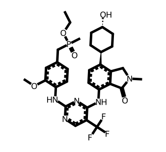 CCOP(C)(=O)Cc1ccc(Nc2ncc(C(F)(F)F)c(Nc3ccc([C@H]4CC[C@H](O)CC4)c4c3C(=O)N(C)C4)n2)c(OC)c1